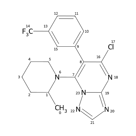 CC1CCCCN1c1c(-c2cccc(C(F)(F)F)c2)c(Cl)nc2ncnn12